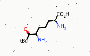 CC(C)(C)C(=O)C(N)CCC[C@H](N)C(=O)O